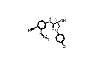 C[C@](O)(COc1ccc(Cl)cc1)C(=O)Nc1ccc(C#N)c(N=[N+]=[N-])c1